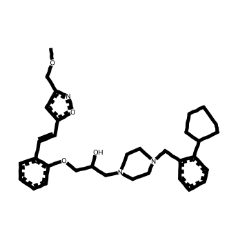 COCc1cc(/C=C/c2ccccc2OCC(O)CN2CCN(Cc3ccccc3C3CCCCC3)CC2)on1